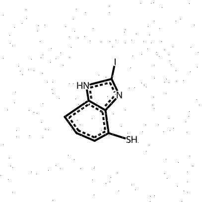 Sc1cccc2[nH]c(I)nc12